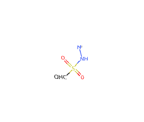 [N]NS(=O)(=O)C=O